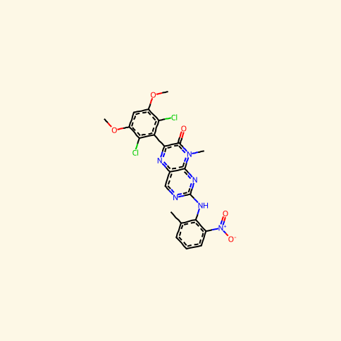 COc1cc(OC)c(Cl)c(-c2nc3cnc(Nc4c(C)cccc4[N+](=O)[O-])nc3n(C)c2=O)c1Cl